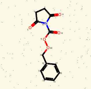 O=C1CCC(=O)N1C(=O)OOCc1ccccc1